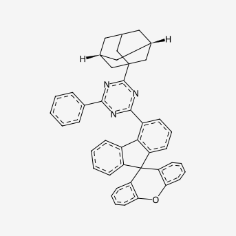 c1ccc(-c2nc(-c3cccc4c3-c3ccccc3C43c4ccccc4Oc4ccccc43)nc(C34CC5C[C@H](C3)C[C@@H](C5)C4)n2)cc1